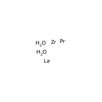 O.O.[La].[Pr].[Zr]